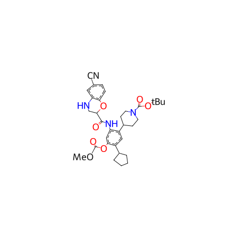 COC(=O)Oc1cc(NC(=O)C2CNc3cc(C#N)ccc3O2)c(C2CCN(C(=O)OC(C)(C)C)CC2)cc1C1CCCC1